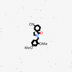 COc1ccc(CN2CC[C@]3(CCC[C@H](N=O)C3)C2=O)c(OC)c1